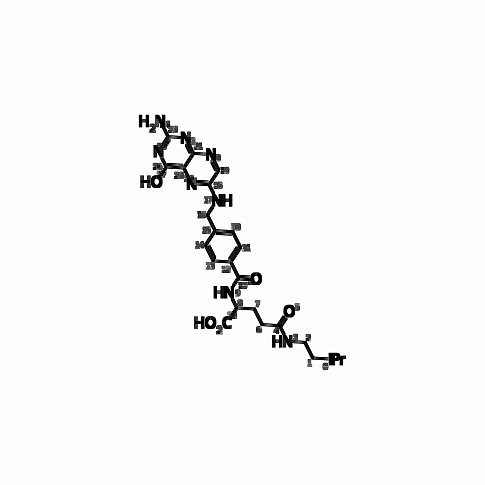 CC(C)CCNC(=O)CCC(NC(=O)c1ccc(CNc2cnc3nc(N)nc(O)c3n2)cc1)C(=O)O